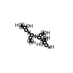 CNc1ccc2c(O)c(N=Nc3ccc(N=Nc4ccc(N=Nc5ccc6cc(S(=O)(=O)O)cc(O)c6c5)c5ccc(S(=O)(=O)O)cc45)c4ccc(S(=O)(=O)O)cc34)c(S(=O)(=O)O)cc2c1